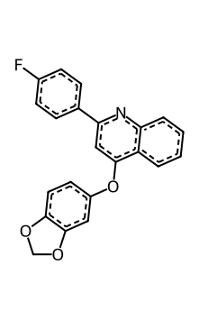 Fc1ccc(-c2cc(Oc3ccc4c(c3)OCO4)c3ccccc3n2)cc1